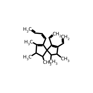 C=C/C=C\C1=C(C)C(C)C(C)C12C(C=C)=C(C=C)C(C)C2C